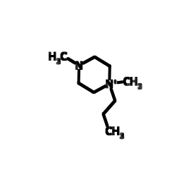 CCC[N+]1(C)CCN(C)CC1